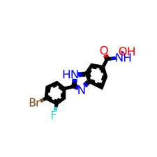 O=C(NO)c1ccc2nc(-c3ccc(Br)c(F)c3)[nH]c2c1